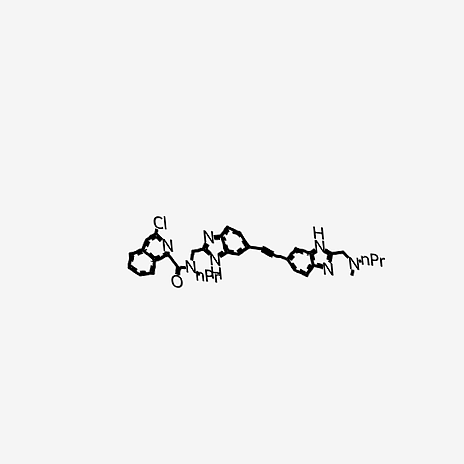 CCCN(C)Cc1nc2ccc(C#Cc3ccc4nc(CN(CCC)C(=O)c5nc(Cl)cc6ccccc56)[nH]c4c3)cc2[nH]1